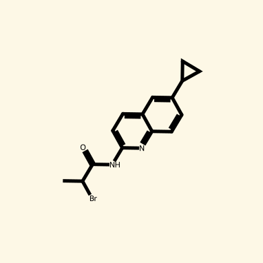 CC(Br)C(=O)Nc1ccc2cc(C3CC3)ccc2n1